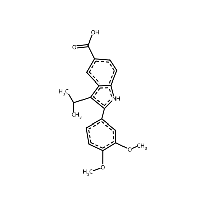 COc1ccc(-c2[nH]c3ccc(C(=O)O)cc3c2C(C)C)cc1OC